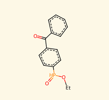 CCO[PH](=O)c1ccc(C(=O)c2ccccc2)cc1